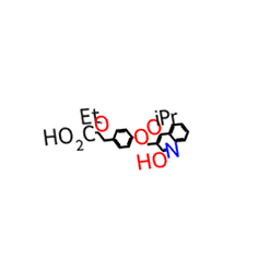 CCOC(Cc1ccc(OCc2c(O)nc3ccccc3c2OC(C)C)cc1)C(=O)O